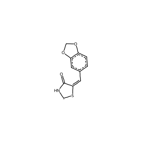 O=C1N[C]SC1=Cc1ccc2c(c1)OCO2